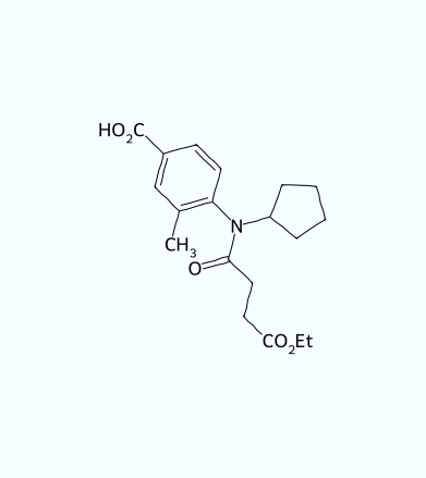 CCOC(=O)CCC(=O)N(c1ccc(C(=O)O)cc1C)C1CCCC1